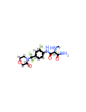 CN[C@@H](C(N)=O)C(=O)Nc1ccc(C(F)(F)N2CCOCC2=O)cc1F